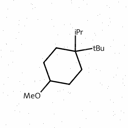 COC1CCC(C(C)C)(C(C)(C)C)CC1